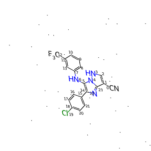 N#Cc1c[nH]n2c(Nc3cccc(C(F)(F)F)c3)c(-c3ccc(Cl)cc3)nc12